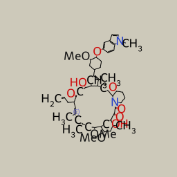 C=CCC1/C=C(\C)CC(C)CC(OC)C2CC(O)(C(=O)C(=O)N3CCCCC3C(=O)CC(C(C)=CC3CCC(Oc4ccc5c(ccn5C)c4)C(OC)C3)C(C)C(O)CC1=O)C(C)CC2OC